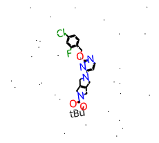 CC(C)(C)OC(=O)N1CC2=C(C1)CN(c1ccnc(OCc3ccc(Cl)cc3F)n1)C2